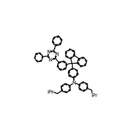 CC(C)Cc1ccc(N(c2ccc(CC(C)C)cc2)c2ccc(C3(c4cccc(-c5nc(-c6ccccc6)nc(-c6ccccc6)n5)c4)c4ccccc4-c4ccccc43)cc2)cc1